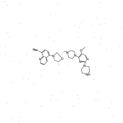 COc1cnc(N2CCNCC2)nc1N1CCN(C[C@H]2CN(c3ccc(C#N)c4ncccc34)C[C@@H](C)O2)CC1